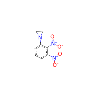 O=[N+]([O-])c1cccc(N2CC2)c1[N+](=O)[O-]